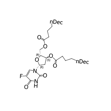 CCCCCCCCCCCCCC(=O)OC[C@H]1O[C@@H](n2cc(F)c(=O)[nH]c2=O)C[C@@H]1OC(=O)CCCCCCCCCCCCC